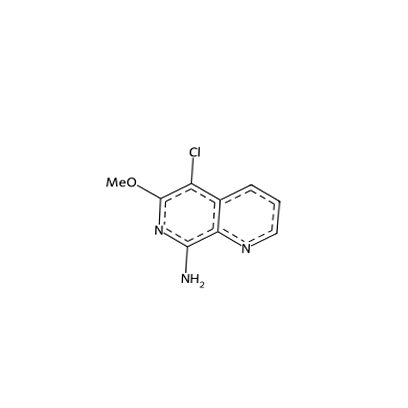 COc1nc(N)c2ncccc2c1Cl